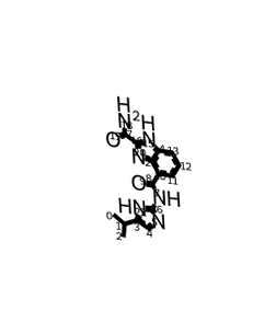 CC(C)c1cnc(NC(=O)c2cccc3[nH]c(C(N)=O)nc23)[nH]1